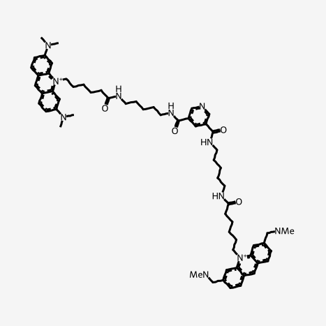 CNCc1ccc2cc3ccc(CNC)cc3[n+](CCCCCC(=O)NCCCCCNC(=O)c3cncc(C(=O)NCCCCCNC(=O)CCCCC[n+]4c5cc(N(C)C)ccc5cc5ccc(N(C)C)cc54)c3)c2c1